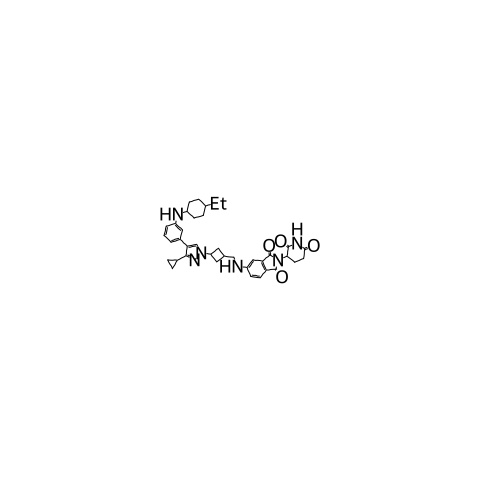 CCC1CCC(Nc2cccc(-c3cn(C4CC(CNc5ccc6c(c5)C(=O)N(C5CCC(=O)NC5=O)C6=O)C4)nc3C3CC3)c2)CC1